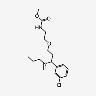 CCCNC(CCOCCNC(=O)OC)c1cccc(Cl)c1